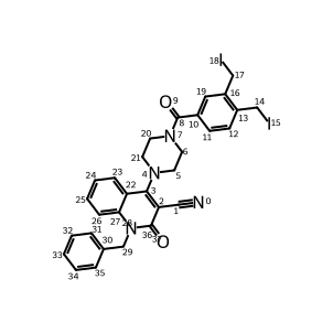 N#Cc1c(N2CCN(C(=O)c3ccc(CI)c(CI)c3)CC2)c2ccccc2n(Cc2ccccc2)c1=O